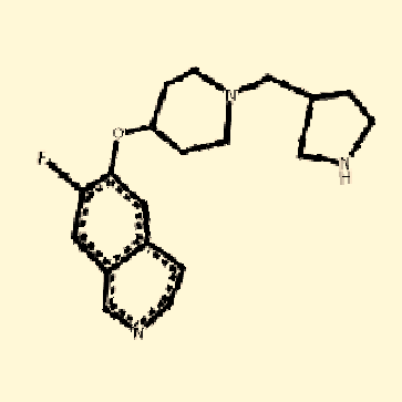 Fc1cc2cnccc2cc1OC1CCN(CC2CCNC2)CC1